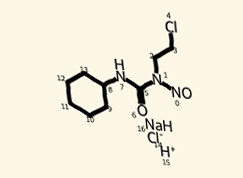 O=NN(CCCl)C(=O)NC1CCCCC1.[Cl-].[H+].[NaH]